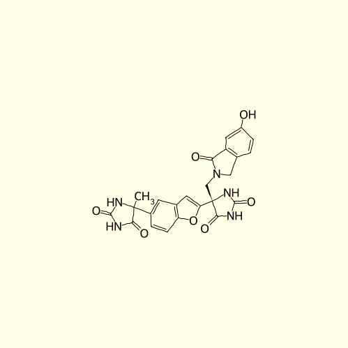 CC1(c2ccc3oc([C@]4(CN5Cc6ccc(O)cc6C5=O)NC(=O)NC4=O)cc3c2)NC(=O)NC1=O